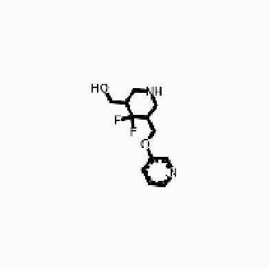 OCC1CNCC(COc2cccnc2)C1(F)F